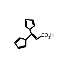 O=C(O)C=C(C1C=CC=C1)C1C=CC=C1